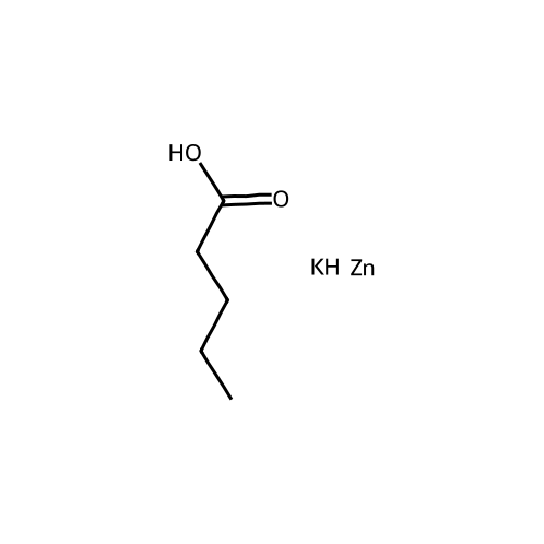 CCCCC(=O)O.[KH].[Zn]